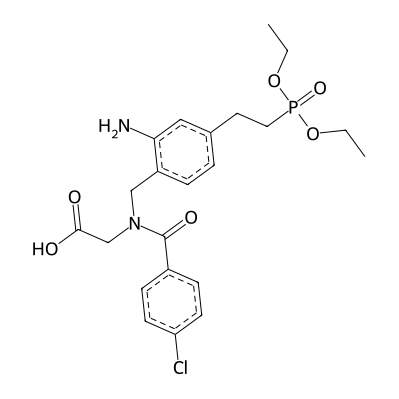 CCOP(=O)(CCc1ccc(CN(CC(=O)O)C(=O)c2ccc(Cl)cc2)c(N)c1)OCC